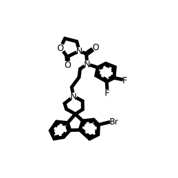 O=C1OCCN1C(=O)N(CCCN1CCC2(CC1)c1ccccc1-c1ccc(Br)cc12)c1ccc(F)c(F)c1